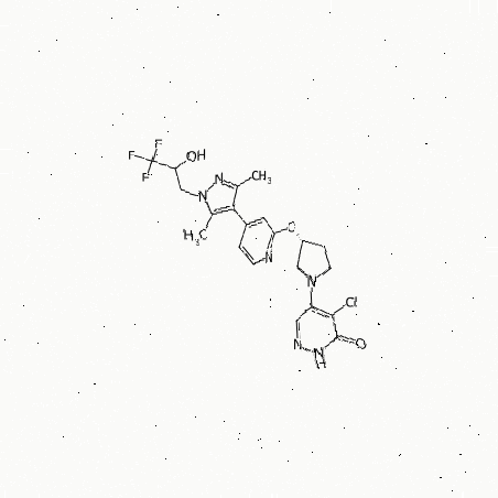 Cc1nn(CC(O)C(F)(F)F)c(C)c1-c1ccnc(O[C@@H]2CCN(c3cn[nH]c(=O)c3Cl)C2)c1